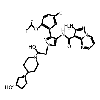 Nc1nn2cccnc2c1C(=O)Nc1cn(CC(O)N2CCC(N3CC[C@H](O)C3)CC2)nc1-c1cc(Cl)ccc1OC(F)F